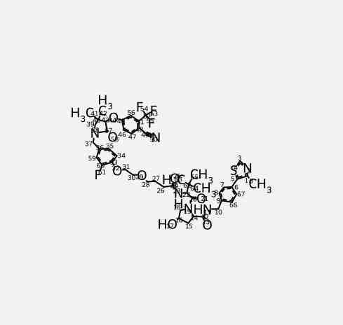 Cc1ncsc1-c1ccc(CNC(=O)C2CC(O)CN2C(=O)C(NC(=O)CCCOCCOc2ccc(CN3CC(C)(C)C(Oc4ccc(C#N)c(C(F)(F)F)c4)C3=O)cc2F)C(C)(C)C)cc1